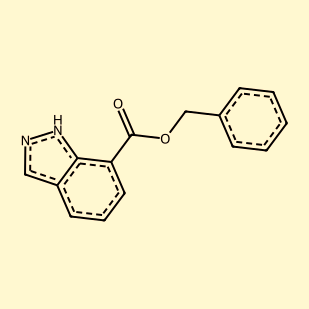 O=C(OCc1ccccc1)c1cccc2cn[nH]c12